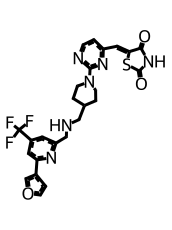 O=C1NC(=O)C(=Cc2ccnc(N3CCC(CNCc4cc(C(F)(F)F)cc(-c5ccoc5)n4)CC3)n2)S1